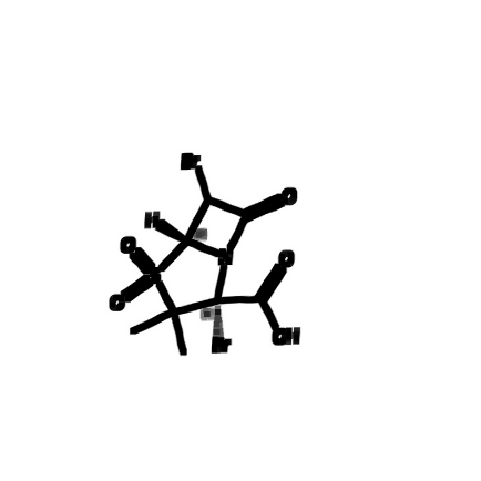 CC1(C)[C@](Br)(C(=O)O)N2C(=O)C(Br)[C@H]2S1(=O)=O